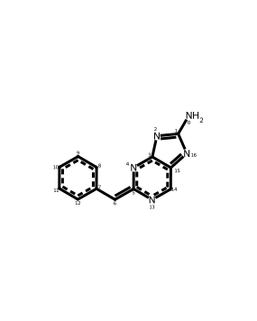 NC1=Nc2nc(=Cc3ccccc3)ncc2=N1